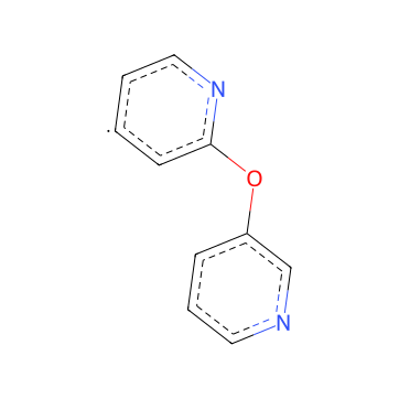 [c]1ccnc(Oc2cccnc2)c1